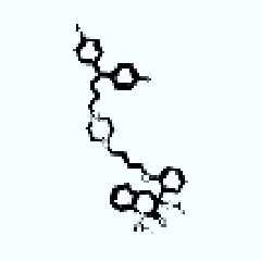 CN1C(=O)C(C)(c2ccccc2OCCCCN2CCN(CCCC(c3ccc(F)cc3)c3ccc(F)cc3)CC2)Cc2ccccc21